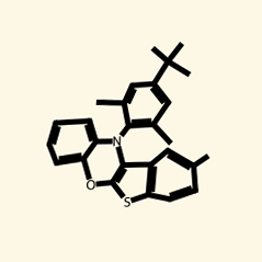 Cc1ccc2sc3c(c2c1)N(c1c(C)cc(C(C)(C)C)cc1C)c1ccccc1O3